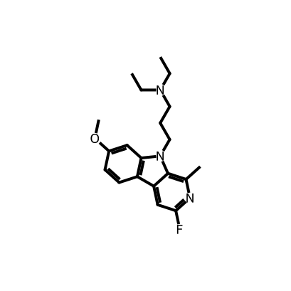 CCN(CC)CCCn1c2cc(OC)ccc2c2cc(F)nc(C)c21